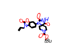 C=CCn1c(=O)oc2cc(N3C(=O)NC(=O)C34CCN(C(=O)OC(C)(C)C)CC4)ccc21